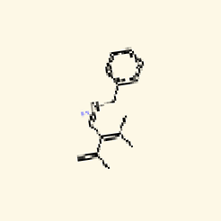 C=C(C)C(/C=N\Cc1ccccc1)=C(C)C